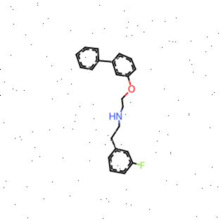 Fc1cccc(CCNCCOc2cccc(-c3ccccc3)c2)c1